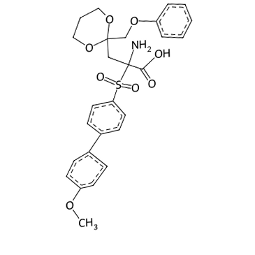 COc1ccc(-c2ccc(S(=O)(=O)C(N)(CC3(COc4ccccc4)OCCCO3)C(=O)O)cc2)cc1